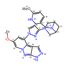 CCOc1cc(-n2ccc(N3CC4CC(C3)N4CC3=CC=C(OC)NC3)n2)c2c3cn[nH]c3nn2c1